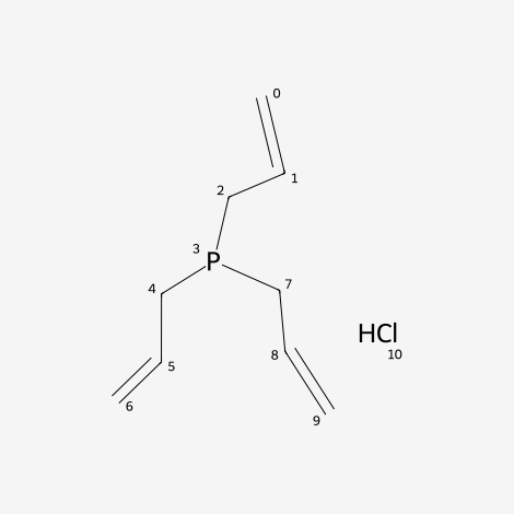 C=CCP(CC=C)CC=C.Cl